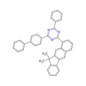 CC1(C)c2ccccc2-c2cc3cccc(-c4nc(-c5ccccc5)nc(-c5ccc(-c6ccccc6)cc5)n4)c3cc21